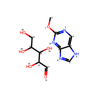 COc1ncc2[nH]cnc2n1.O=CC(O)C(O)C(O)CO